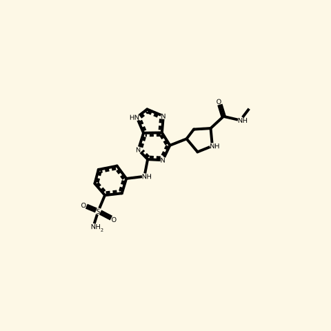 CNC(=O)C1CC(c2nc(Nc3cccc(S(N)(=O)=O)c3)nc3[nH]cnc23)CN1